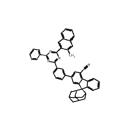 Cc1cc2ccccc2cc1-c1nc(-c2ccccc2)nc(-c2cccc(-c3cc(C#N)c4c(c3)C3(c5ccccc5-4)C4CC5CC(C4)CC3C5)c2)n1